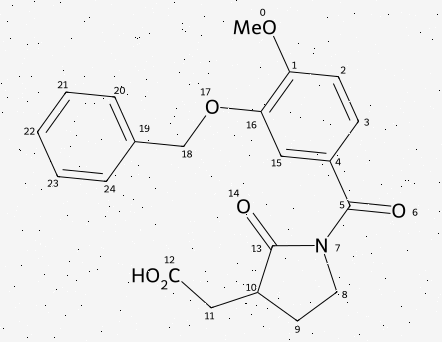 COc1ccc(C(=O)N2CCC(CC(=O)O)C2=O)cc1OCc1ccccc1